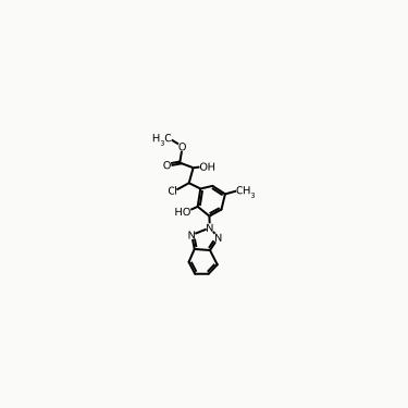 COC(=O)C(O)C(Cl)c1cc(C)cc(-n2nc3ccccc3n2)c1O